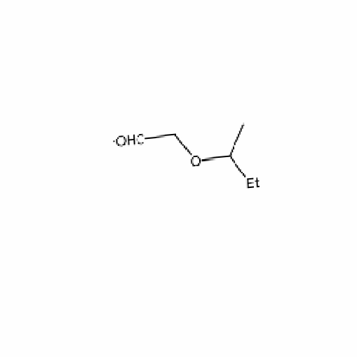 CCC(C)OC[C]=O